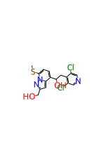 CSc1ccc(C(O)Cc2c(Cl)cncc2Cl)c2cc(CO)nn12